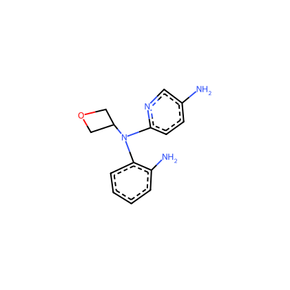 Nc1ccc(N(c2ccccc2N)C2COC2)nc1